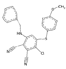 COc1ccc(Sc2cc(NCc3ccccc3)c(C#N)c(C#N)c2Cl)cc1